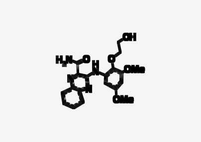 COc1cc(Nc2nc3ccccc3nc2C(N)=O)c(OCCO)c(OC)c1